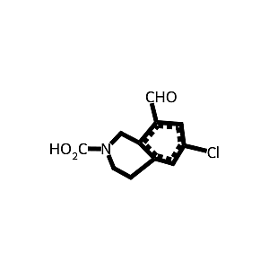 O=Cc1cc(Cl)cc2c1CN(C(=O)O)CC2